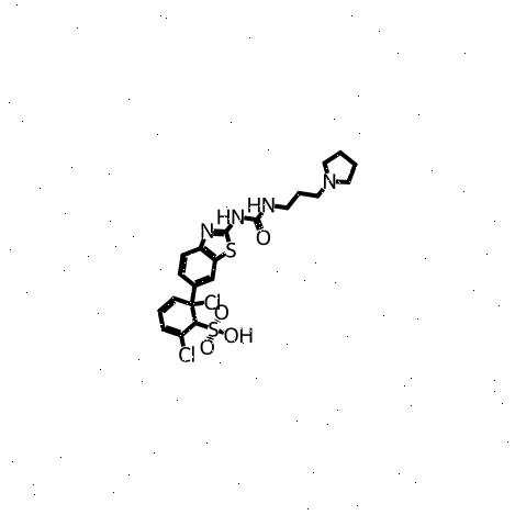 O=C(NCCCN1CCCC1)Nc1nc2ccc(C3(Cl)C=CC=C(Cl)C3S(=O)(=O)O)cc2s1